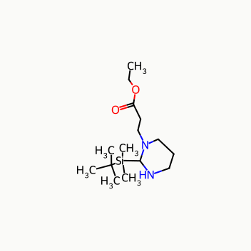 CCOC(=O)CCN1CCCNC1[Si](C)(C)C(C)(C)C